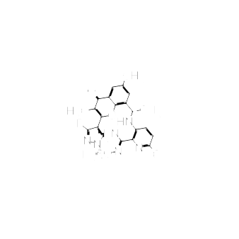 Cc1cc([C@@H](C)Nc2ccc(Cl)nc2/C(N)=N/O)c2oc(-c3cn(C)nc3F)c(C)c(=O)c2c1